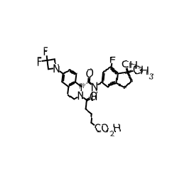 CC1(C)CCc2cc(NC(=O)[C@H]3c4ccc(N5CC(F)(F)C5)cc4CCN3C(=O)CCCC(=O)O)cc(F)c21